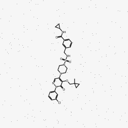 CC1(COc2c(N3CCN(S(=O)(=O)NCc4cccc(C(=O)NC5CC5)c4)CC3)cnn(-c3cccc(Cl)c3)c2=O)CC1